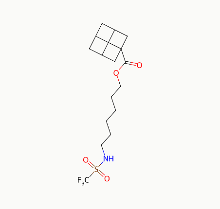 O=C(OCCCCCCNS(=O)(=O)C(F)(F)F)C12CC3CC4CC(C1)C432